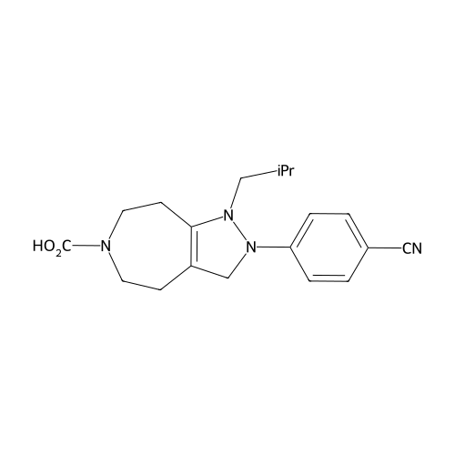 CC(C)CN1C2=C(CCN(C(=O)O)CC2)CN1c1ccc(C#N)cc1